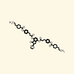 CCCC1CCC(C(=O)Oc2ccc(CCC(=O)Oc3ccc(OC(=O)CCc4ccc(OC(=O)C5CCC(CCC)CC5)cc4)c4c3CC(=C3SCCS3)C4=O)cc2)CC1